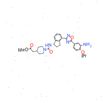 COC(=O)CC1CCN(C(=O)N[C@H]2CCc3c(-c4noc(-c5ccc(OC(C)C)c(N)c5)n4)cccc32)CC1